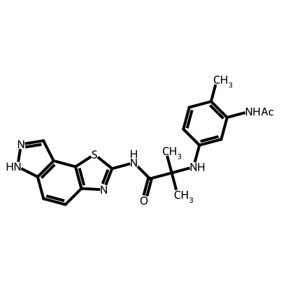 CC(=O)Nc1cc(NC(C)(C)C(=O)Nc2nc3ccc4[nH]ncc4c3s2)ccc1C